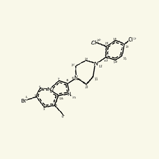 Cc1cc(Br)cn2cc(N3CCN(c4ccc(Cl)cc4Cl)CC3)nc12